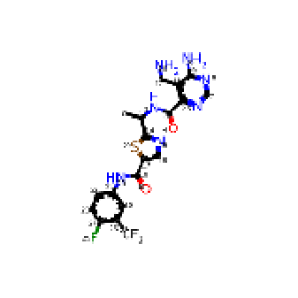 CC(NC(=O)c1ncnc(N)c1CN)c1ncc(C(=O)Nc2ccc(F)c(C(F)(F)F)c2)s1